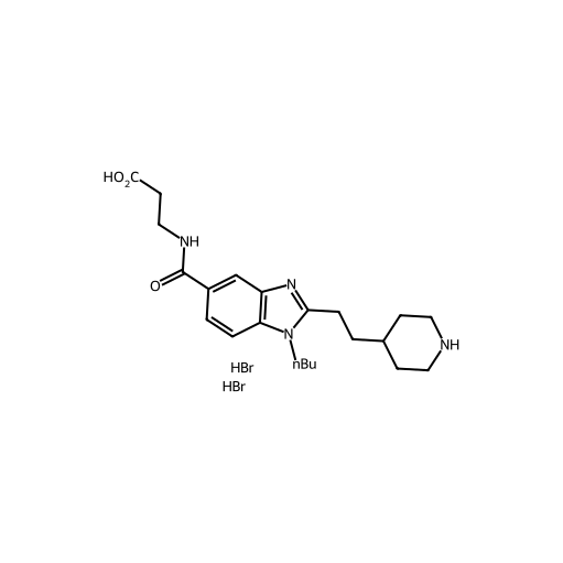 Br.Br.CCCCn1c(CCC2CCNCC2)nc2cc(C(=O)NCCC(=O)O)ccc21